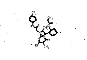 C=CC(=O)Nc1ccccc1-c1c(C)n(CC(=O)Nc2ccc(C(F)(F)F)cc2)c2nc(CC)c(C)c(=O)n12